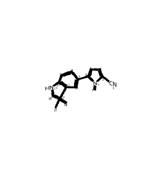 Cn1c(C#N)ccc1-c1ccc2c(c1)C(C)(C)CN2